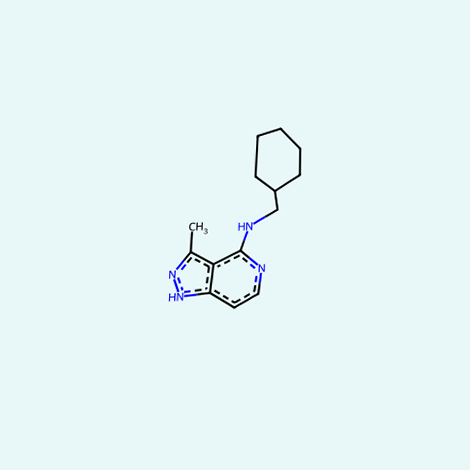 Cc1n[nH]c2ccnc(NCC3CCCCC3)c12